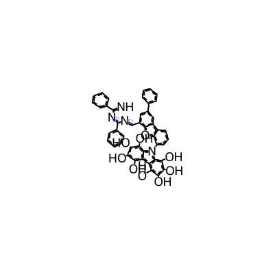 N=C(/N=C(\N=C\c1cc(-c2ccccc2)cc2c1oc1c(-n3c4c(O)c(O)c(O)c(O)c4c4c(O)c(O)c(O)c(O)c43)cccc12)c1ccccc1)c1ccccc1